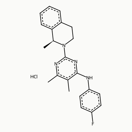 Cc1nc(N2CCc3ccccc3[C@@H]2C)nc(Nc2ccc(F)cc2)c1C.Cl